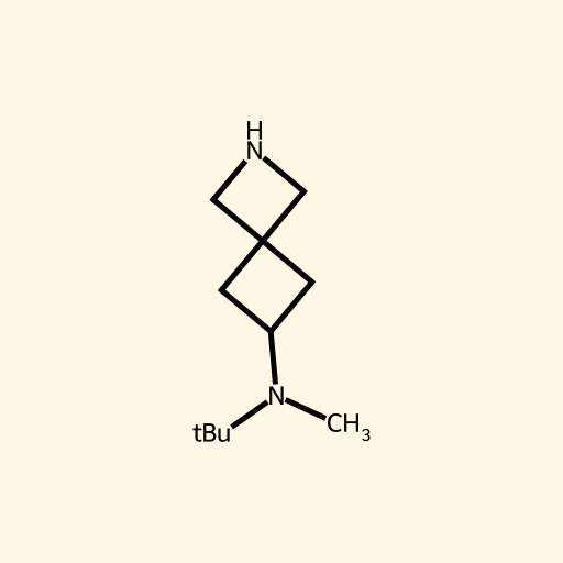 CN(C1CC2(CNC2)C1)C(C)(C)C